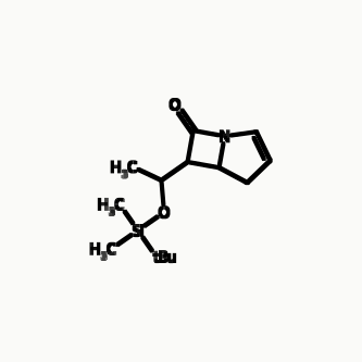 CC(O[Si](C)(C)C(C)(C)C)C1C(=O)N2C=CCC12